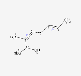 C/C=C/C/C=C(/C)C(O)CCCC